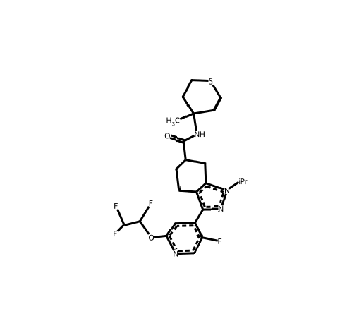 CC(C)n1nc(-c2cc(OC(F)C(F)F)ncc2F)c2c1CC(C(=O)NC1(C)CCSCC1)CC2